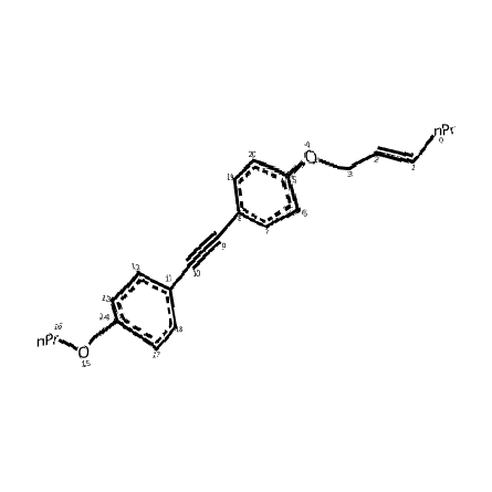 CCCC=CCOc1ccc(C#Cc2ccc(OCCC)cc2)cc1